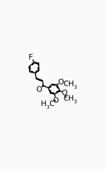 COc1cc(C(=O)C=Cc2ccc(F)cc2)cc(OC)c1OC